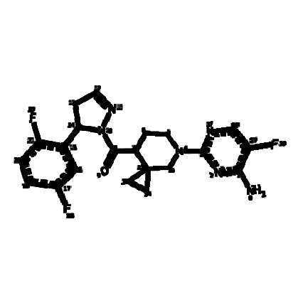 Nc1nc(N2CCC(C(=O)N3N=CCC3c3cc(F)ccc3F)C3(CC3)C2)ncc1F